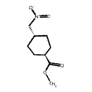 COC(=O)[C@H]1CC[C@H](C[N+](=O)[O-])CC1